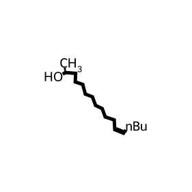 CCCC/C=C\CCCCCCCCC[C@H](C)O